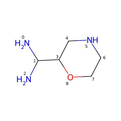 NC(N)C1CNCCO1